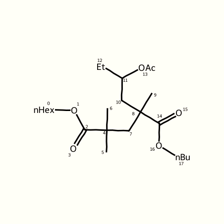 CCCCCCOC(=O)C(C)(C)CC(C)(CC(CC)OC(C)=O)C(=O)OCCCC